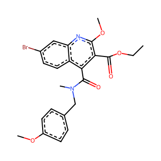 CCOC(=O)c1c(OC)nc2cc(Br)ccc2c1C(=O)N(C)Cc1ccc(OC)cc1